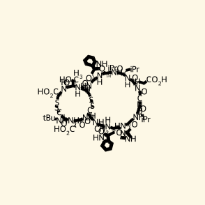 CC(C)C[C@@H]1NC(=O)[C@H](Cc2c[nH]cn2)NC(=O)[C@H](Cc2c[nH]c3ccccc23)NC(=O)[C@H](C)NC(=O)[C@@H]2CSSC[C@H](NC(=O)[C@H](Cc3c[nH]c4ccccc34)NC(=O)[C@H](C(C)C)NC(=O)[C@H](CC(C)C)NC(=O)[C@H](CCC(=O)O)NC(=O)CNC1=O)C(=O)NC([C@@H](C)O)C(=O)N[C@H](C(=O)O)CSSC[C@H](NC(C)(C)C)C(=O)N[C@@H](CC(=O)O)C(=O)N2